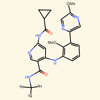 [2H]C([2H])([2H])NC(=O)c1cnc(NC(=O)C2CC2)cc1Nc1cccc(-c2cnc(OC)cn2)c1OC